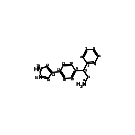 NCC(c1ccccc1)c1ccc(-c2cn[nH]c2)cc1